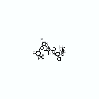 Cc1cc(C(=O)Nc2cc(Cl)cc(NS(C)(=O)=O)c2)cn1-c1ncc(F)cc1OCc1cc(F)cc(C(F)(F)F)c1